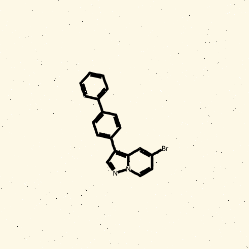 Brc1ccn2ncc(-c3ccc(-c4ccccc4)cc3)c2c1